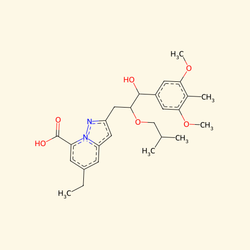 CCc1cc(C(=O)O)n2nc(CC(OCC(C)C)C(O)c3cc(OC)c(C)c(OC)c3)cc2c1